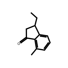 CCC1CC(=O)c2c(C)cccc21